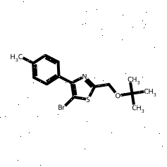 Cc1ccc(-c2nc(COC(C)(C)C)sc2Br)cc1